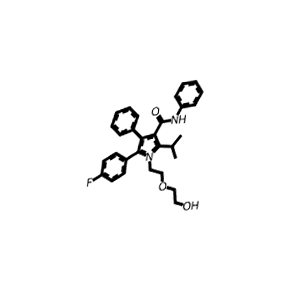 CC(C)c1c(C(=O)Nc2ccccc2)c(-c2ccccc2)c(-c2ccc(F)cc2)n1CCOCCO